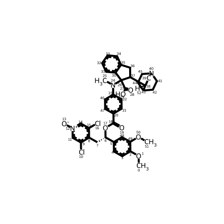 COc1ccc([C@H](Cc2c(Cl)c[n+]([O-])cc2Cl)OC(=O)c2ccc(N(C)C3(C(=O)O)c4ccccc4CC3[C@@H]3CN4CCC3CC4)cc2)cc1OC